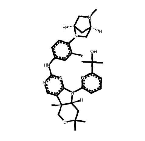 CN1C[C@H]2C[C@@H]1CN2c1ccc(Nc2ncc3c(n2)N(c2cccc(C(C)(C)O)n2)[C@@H]2CC(C)(C)OC[C@]32C)cc1F